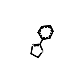 [CH]1CSC(c2ccccc2)=N1